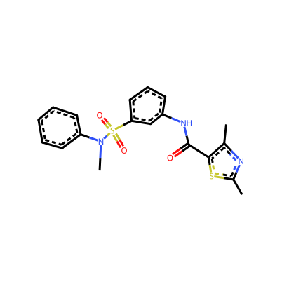 Cc1nc(C)c(C(=O)Nc2cccc(S(=O)(=O)N(C)c3ccccc3)c2)s1